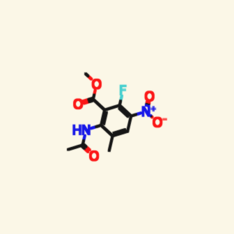 COC(=O)c1c(F)c([N+](=O)[O-])cc(C)c1NC(C)=O